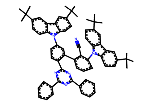 CC(C)(C)c1ccc2c(c1)c1cc(C(C)(C)C)ccc1n2-c1ccc(-c2nc(-c3ccccc3)nc(-c3ccccc3)n2)c(-c2cccc(-n3c4ccc(C(C)(C)C)cc4c4cc(C(C)(C)C)ccc43)c2C#N)c1